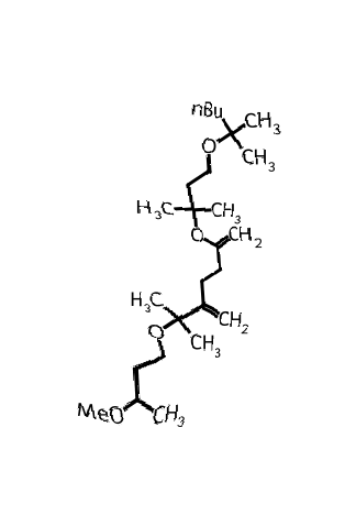 C=C(CCC(=C)C(C)(C)OCCC(C)OC)OC(C)(C)CCOC(C)(C)CCCC